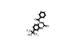 CCC1CN(C(=O)c2ccccc2)c2ccc(C(O)(C(F)(F)F)C(F)(F)F)cc2S1